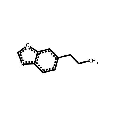 CCCc1ccc2ncoc2c1